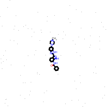 CN1CCN(c2ccc3nc(-c4n[nH]c5c(NC(=O)c6ccccc6)cccc45)[nH]c3c2)CC1